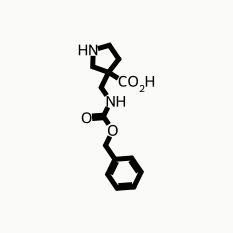 O=C(NCC1(C(=O)O)CCNC1)OCc1ccccc1